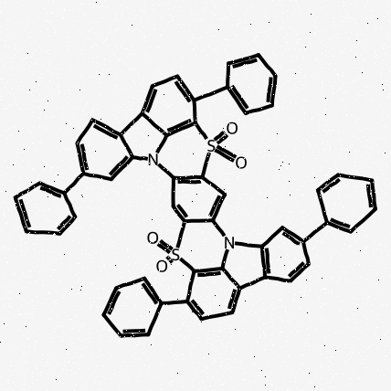 O=S1(=O)c2cc3c(cc2-n2c4cc(-c5ccccc5)ccc4c4ccc(-c5ccccc5)c1c42)S(=O)(=O)c1c(-c2ccccc2)ccc2c4ccc(-c5ccccc5)cc4n-3c12